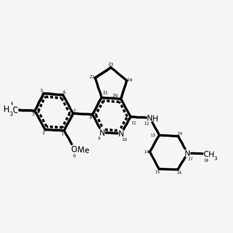 COc1cc(C)ccc1-c1nnc(NC2CCCN(C)C2)c2c1CCC2